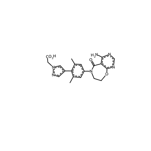 Cc1cc(N2CCOc3ncnc(N)c3C2=O)cc(C)c1-c1cnn(CC(=O)O)c1